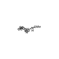 COCCNCC#Cc1ccc2ncnc(Nc3ccc4c(ccn4S(=O)(=O)c4ccccc4)c3)c2c1